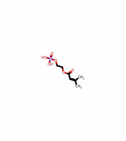 CC(C)=CC(=O)OCCOP(=O)(O)O